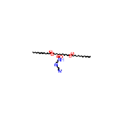 CCCCCCCCCCCCC(=O)OCCCCCC(CCCCCOC(=O)CCCCCCCCCCCC)OC(=O)NCCCN(C)CCCCN(C)C